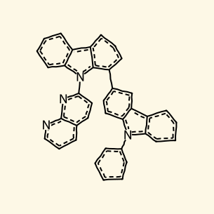 c1ccc(-n2c3ccccc3c3cc(-c4cccc5c6ccccc6n(-c6ccc7cccnc7n6)c45)ccc32)cc1